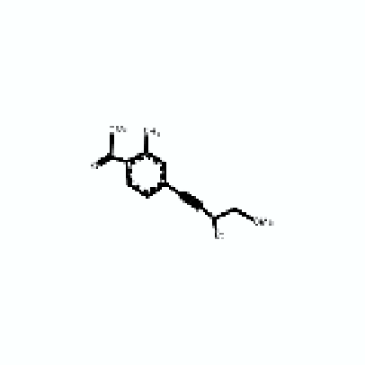 CCC(C#Cc1ccc(C(=O)OC)c(C)c1)COC